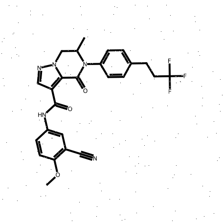 COc1ccc(NC(=O)c2cnn3c2C(=O)N(c2ccc(CCC(F)(F)F)cc2)C(C)C3)cc1C#N